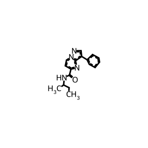 CCC(C)NC(=O)c1ccn2ncc(-c3ccccc3)c2n1